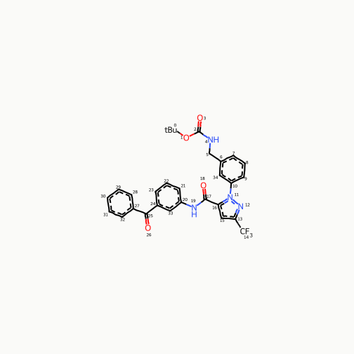 CC(C)(C)OC(=O)NCc1cccc(-n2nc(C(F)(F)F)cc2C(=O)Nc2cccc(C(=O)c3ccccc3)c2)c1